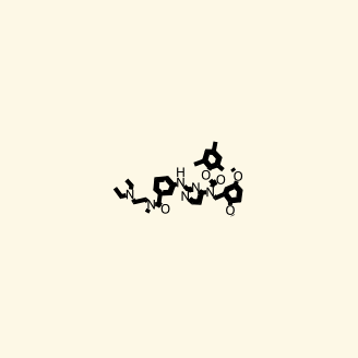 CCN(CC)CCN(C)C(=O)c1cccc(Nc2nccc(N(Cc3cc(OC)ccc3OC)C(=O)Oc3c(C)cc(C)cc3C)n2)c1